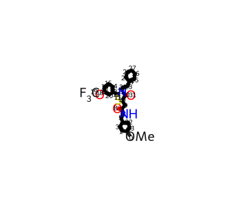 COc1ccc(CNC(=O)CC2SC(c3cccc(OC(F)(F)F)c3)N(CCC3=CCCCC3)C2=O)cc1